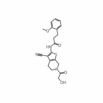 COc1ccccc1CCC(=O)Nc1sc2c(c1C#N)CCN(C(=O)CO)C2